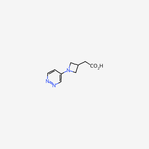 O=C(O)CC1CN(c2ccnnc2)C1